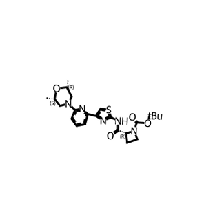 C[C@@H]1CN(c2cccc(-c3csc(NC(=O)[C@H]4CCN4C(=O)OC(C)(C)C)n3)n2)C[C@H](C)O1